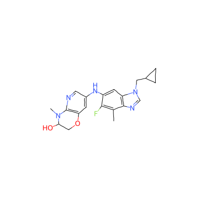 Cc1c(F)c(Nc2cnc3c(c2)OCC(O)N3C)cc2c1ncn2CC1CC1